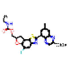 COc1cnc2c(-c3nc4cc(F)c5c(c4s3)CC(COC(=O)NCC(C)C)O5)cc(C)cc2n1